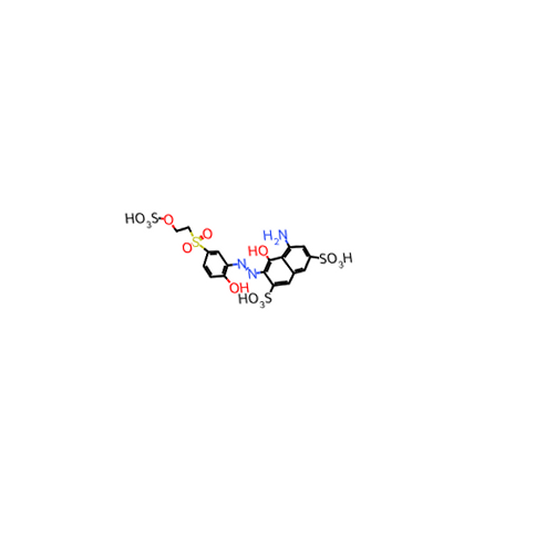 Nc1cc(S(=O)(=O)O)cc2cc(S(=O)(=O)O)c(N=Nc3cc(S(=O)(=O)CCOS(=O)(=O)O)ccc3O)c(O)c12